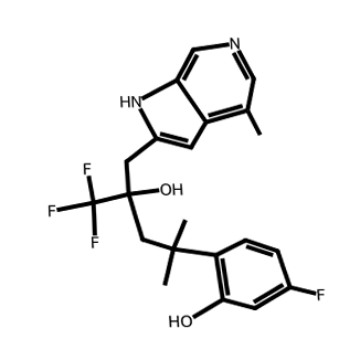 Cc1cncc2[nH]c(CC(O)(CC(C)(C)c3ccc(F)cc3O)C(F)(F)F)cc12